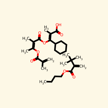 C=C(C(=O)OCCCC)C(C)(C)C.C=C(C)C(=O)OC(C)=C(C)C(=O)OC(=C(C)C(=O)O)C1CCCCC1